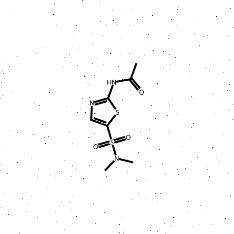 CC(=O)Nc1ncc(S(=O)(=O)N(C)C)s1